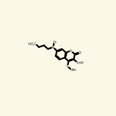 CCCCSc1c(C=O)c(=O)oc2cc(N(CC)CCCC(=O)O)ccc12